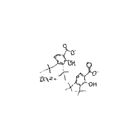 CC(C)(C)c1ccc(C(=O)[O-])c(O)c1C(C)(C)C.CC(C)(C)c1ccc(C(=O)[O-])c(O)c1C(C)(C)C.[Zn+2]